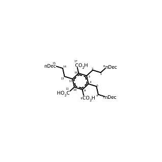 CCCCCCCCCCCCc1c(CCCCCCCCCCCC)c(C(=O)O)c(C(=O)O)c(CCCCCCCCCCCC)c1C(=O)O